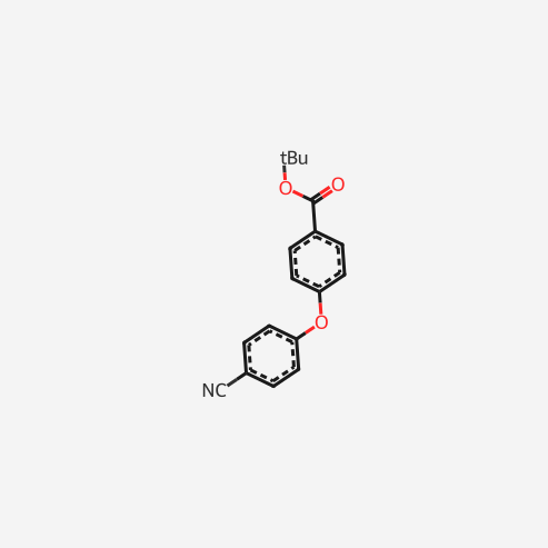 CC(C)(C)OC(=O)c1ccc(Oc2ccc(C#N)cc2)cc1